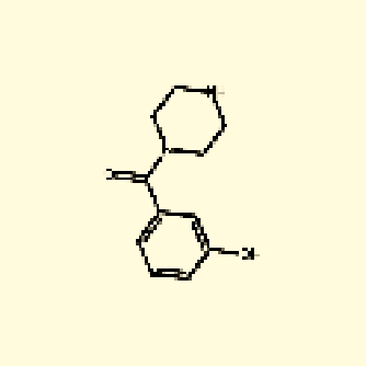 O=C(c1cccc(O)c1)N1CCNCC1